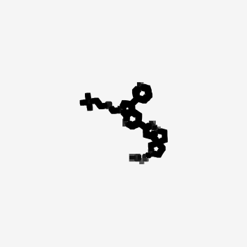 C[Si](C)(C)CCOCn1cc(-c2cccnc2)c2cc(-c3cc4n(n3)CCC43CCN(C(=O)O)C3)cnc21